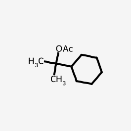 [CH2]C(=O)OC(C)(C)C1CCCCC1